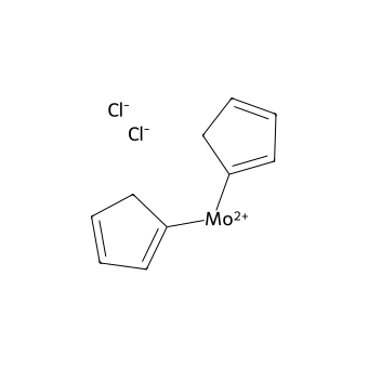 C1=CC[C]([Mo+2][C]2=CC=CC2)=C1.[Cl-].[Cl-]